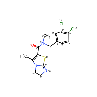 CC1=C(C(=O)N(C)Cc2ccc(Cl)c(Cl)c2)SC2=NCCN21